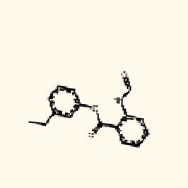 CCc1cccc(OC(=O)c2ccccc2NC=O)c1